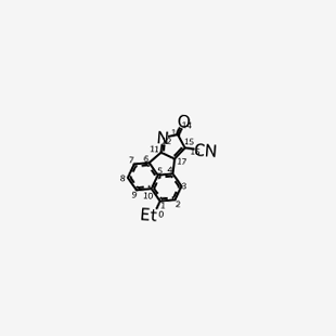 CCc1ccc2c3c(cccc13)C1=NC(=O)C(C#N)=C12